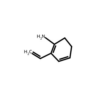 C=CC1=C(N)CCC=C1